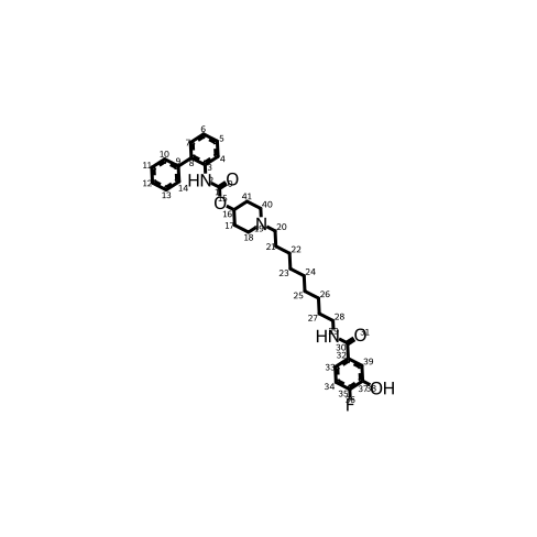 O=C(Nc1ccccc1-c1ccccc1)OC1CCN(CCCCCCCCCNC(=O)c2ccc(F)c(O)c2)CC1